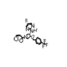 O=C(/C=C\Cl)N1CC(OCc2ccc(C(F)(F)F)cc2)[C@@H](Nc2ncc(F)cn2)C1